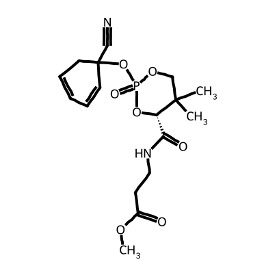 COC(=O)CCNC(=O)[C@@H]1OP(=O)(OC2(C#N)C=CC=CC2)OCC1(C)C